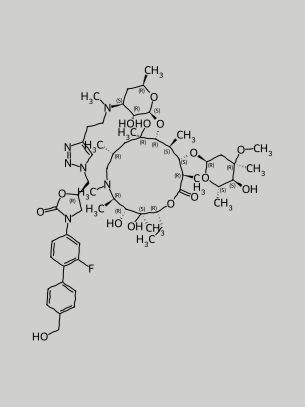 CC[C@H]1OC(=O)[C@H](C)[C@@H](O[C@H]2C[C@@](C)(OC)[C@@H](O)[C@H](C)O2)[C@H](C)[C@@H](O[C@@H]2O[C@H](C)C[C@H](N(C)CCc3cn(C[C@H]4CN(c5ccc(-c6ccc(CO)cc6)c(F)c5)C(=O)O4)nn3)[C@H]2O)[C@](C)(O)C[C@@H](C)CN(C)[C@H](C)[C@@H](O)[C@]1(C)O